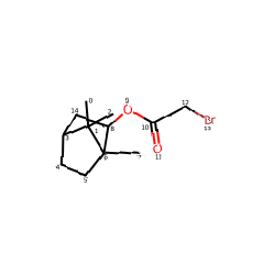 CC1(C)C2CCC1(C)C(OC(=O)CBr)C2